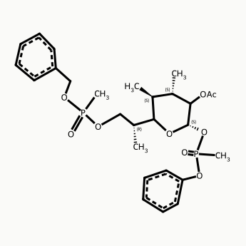 CC(=O)OC1[C@H](OP(C)(=O)Oc2ccccc2)OC([C@H](C)COP(C)(=O)OCc2ccccc2)[C@@H](C)[C@@H]1C